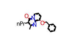 CCCc1c(C)nc2c(OCc3ccccc3)cccn2c1=O